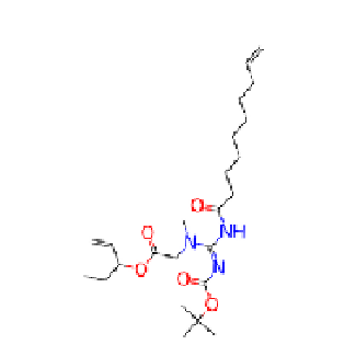 C=CCCCCCCCC(=O)N/C(=N/C(=O)OC(C)(C)C)N(C)CC(=O)OC(C=C)CC